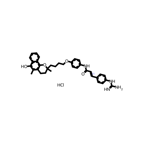 Cc1c2c(c3ccccc3c1O)OC(C)(CCCCOc1ccc(NC(=O)/C=C/c3ccc(NC(=N)N)cc3)cc1)CC2.Cl